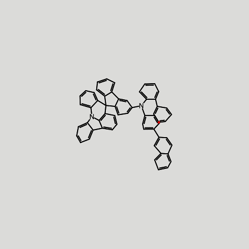 c1ccc(-c2ccccc2N(c2ccc(-c3ccc4ccccc4c3)cc2)c2ccc3c(c2)-c2ccccc2C32c3ccccc3-n3c4ccccc4c4cccc2c43)cc1